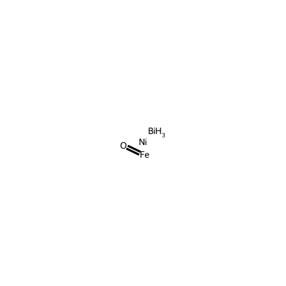 [BiH3].[Ni].[O]=[Fe]